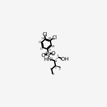 CC[C@H](C)[C@@H](CO)NS(=O)(=O)c1ccc(Cl)c(Cl)c1